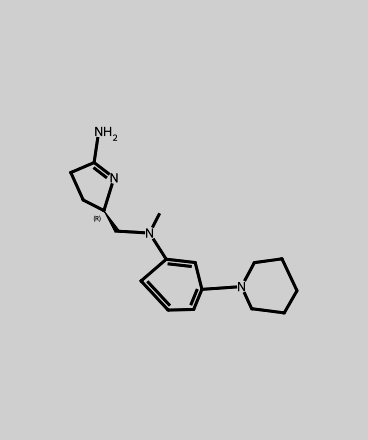 CN(C[C@H]1CCC(N)=N1)c1cccc(N2CCCCC2)c1